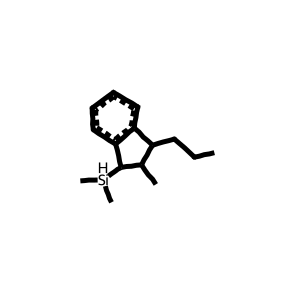 CCCC1c2ccccc2C([SiH](C)C)C1C